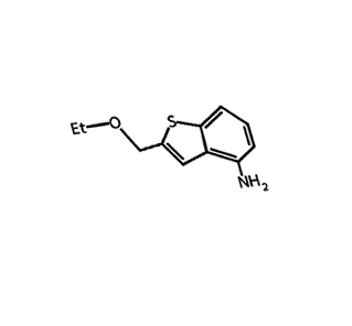 CCOCc1cc2c(N)cccc2s1